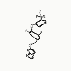 Fc1cc(COc2ccn3ccnc3n2)cc(F)c1Oc1cccc(C(F)(F)F)c1